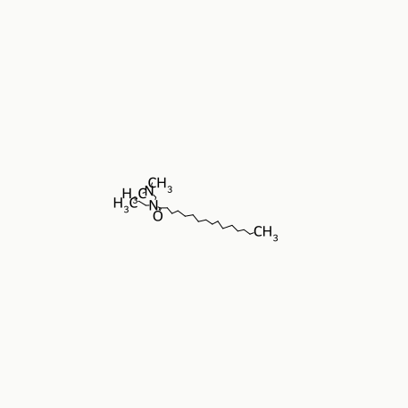 CCCCCCCCCCCCCCCC(=O)N(CCC)CN(C)C